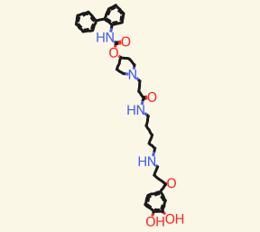 O=C(CCN1CCC(OC(=O)Nc2ccccc2-c2ccccc2)CC1)NCCCCCNCCC(=O)c1ccc(O)c(O)c1